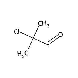 CC(C)(Cl)[C]=O